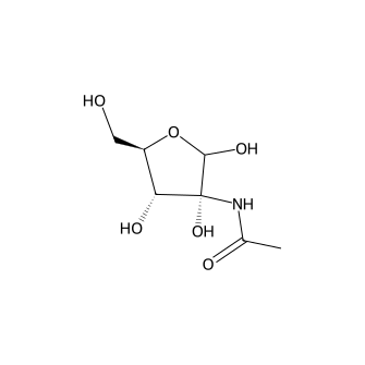 CC(=O)N[C@]1(O)C(O)O[C@H](CO)[C@H]1O